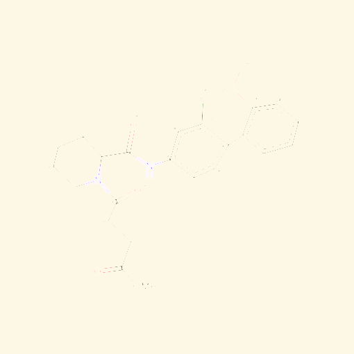 COC(=O)CCC(=O)N1CCCCC1C(=O)Nc1ccc(-c2ccccc2OC(F)(F)F)c(Cl)c1